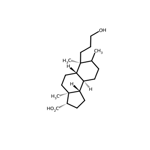 CC1CC[C@H]2[C@@H]3CC[C@H](C(=O)O)[C@@]3(C)CC[C@@H]2[C@@]1(C)CCCO